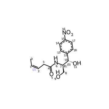 C/C=C\CC(=O)N[C@H](CO)[C@@H](O)c1ccc([N+](=O)[O-])cc1